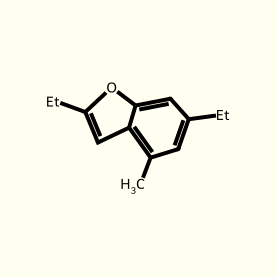 CCc1cc(C)c2cc(CC)oc2c1